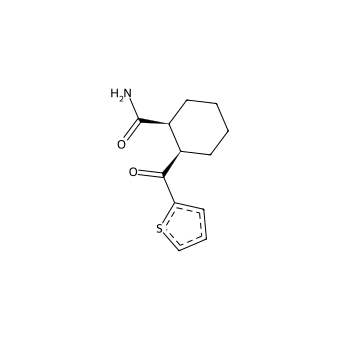 NC(=O)[C@H]1CCCC[C@H]1C(=O)c1cccs1